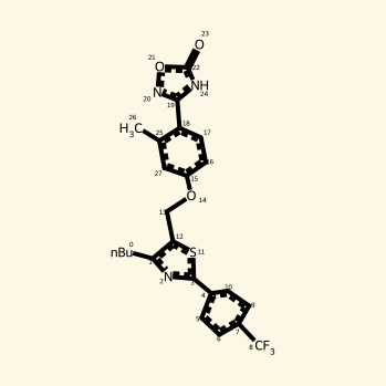 CCCCc1nc(-c2ccc(C(F)(F)F)cc2)sc1COc1ccc(-c2noc(=O)[nH]2)c(C)c1